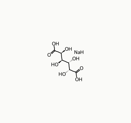 O=C(O)[C@@H](O)[C@H](O)[C@H](O)[C@@H](O)C(=O)O.[NaH]